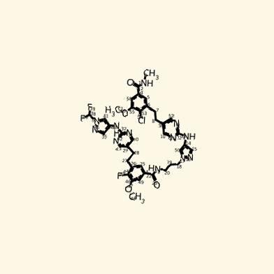 CNC(=O)c1cc(CCc2cnc(Nc3cnn(CCCNC(=O)c4cc(CCc5cnc(Nc6cnn(C(F)F)c6)nc5)c(F)c(OC)c4)c3)nc2)c(Cl)c(OC)c1